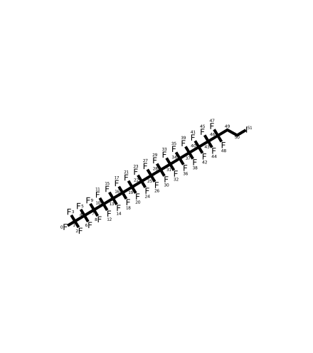 FC(F)(F)C(F)(F)C(F)(F)C(F)(F)C(F)(F)C(F)(F)C(F)(F)C(F)(F)C(F)(F)C(F)(F)C(F)(F)C(F)(F)C(F)(F)C(F)(F)C(F)(F)C(F)(F)CCI